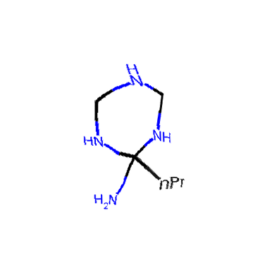 CCCC1(N)NCNCN1